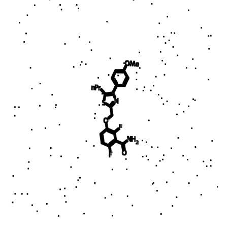 CCCc1sc(COc2ccc(F)c(C(N)=O)c2F)nc1-c1ccc(OC)cc1